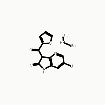 CC(C)(C)NC=O.O=C1Nc2cc(Cl)cnc2C1C(=O)c1ccco1